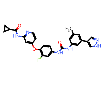 O=C(Nc1cc(-c2cn[nH]c2)cc(C(F)(F)F)c1)Nc1ccc(Oc2ccnc(NC(=O)C3CC3)c2)c(F)c1